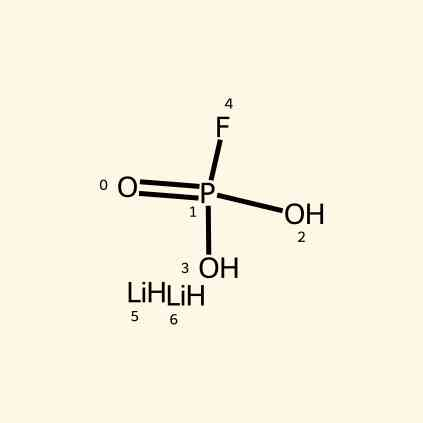 O=P(O)(O)F.[LiH].[LiH]